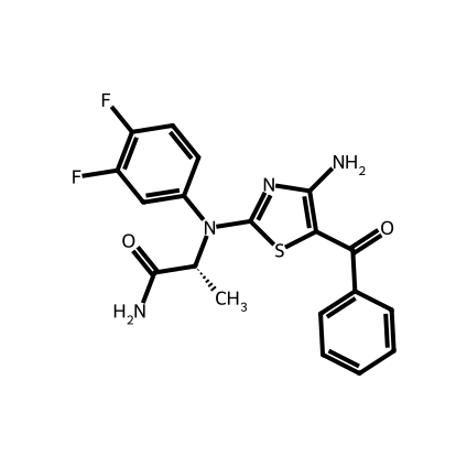 C[C@H](C(N)=O)N(c1ccc(F)c(F)c1)c1nc(N)c(C(=O)c2ccccc2)s1